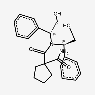 NC(=O)C1(C(=O)N([C@@H](CO)c2ccccc2)[C@@H](CO)c2ccccc2)CCCC1